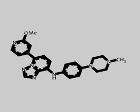 COc1cc(-c2ccc(Nc3ccc(N4CCN(C)CC4)cc3)c3ncnn23)ccn1